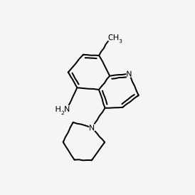 Cc1ccc(N)c2c(N3CCCCC3)ccnc12